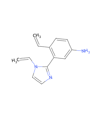 C=Cc1ccc(N)cc1-c1nccn1C=C